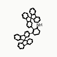 N=C1CC=CC(c2ccc3c(c2)C2(c4ccccc4-c4ccccc42)c2ccccc2-3)=C1c1ccc2c(c1)C1(c3ccccc3-c3ccccc31)c1ccccc1-2